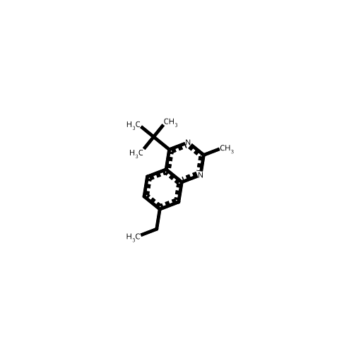 CCc1ccc2c(C(C)(C)C)nc(C)nc2c1